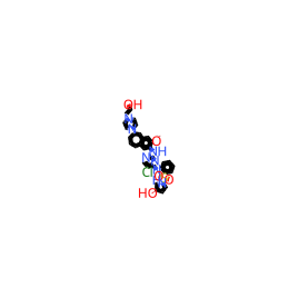 COc1cc2c(cc1Nc1ncc(Cl)c(Nc3ccccc3S(=O)(=O)N3CC[C@H](O)C3)n1)CCCC(N1CCN(CCO)CC1)C2